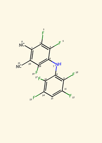 N#Cc1c(F)c(F)c(Nc2c(F)c(F)cc(F)c2F)c(F)c1C#N